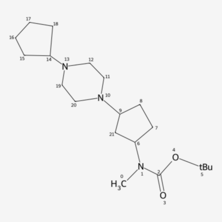 CN(C(=O)OC(C)(C)C)C1CCC(N2CCN(C3CCCC3)CC2)C1